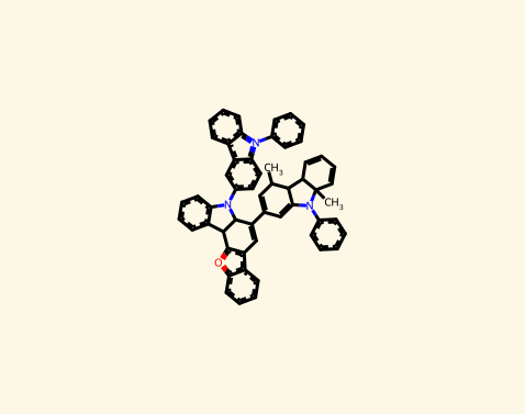 CC1C=C(C2=Cc3c(oc4ccccc34)C3c4ccccc4N(c4ccc5c(c4)c4ccccc4n5-c4ccccc4)C23)C=C2C1C1C=CC=CC1(C)N2c1ccccc1